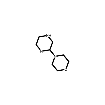 C1CNCC(N2CCOCC2)[N]1